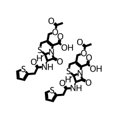 CC(=O)OCC1=C(C(=O)O)N2C(=O)[C@@H](NC(=O)Cc3cccs3)[C@H]2SC1.CC(=O)OCC1=C(C(=O)O)N2C(=O)[C@@H](NC(=O)Cc3cccs3)[C@H]2SC1